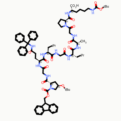 CC(C)C[C@H](NC(=O)CNC(=O)[C@H](CC(C)C)NC(=O)[C@H](CCC(=O)NC(c1ccccc1)(c1ccccc1)c1ccccc1)NC(=O)CNC(=O)[C@@H]1C[C@@H](OC(C)(C)C)CN1C(=O)OCC1c2ccccc2-c2ccccc21)C(=O)N[C@@H](C)C(=O)NCC(=O)N1CCC[C@H]1C(=O)N[C@@H](CCCCNC(=O)OC(C)(C)C)C(=O)O